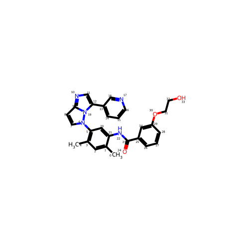 Cc1cc(C)c(-n2ccc3ncc(-c4cccnc4)n32)cc1NC(=O)c1cccc(OCCO)c1